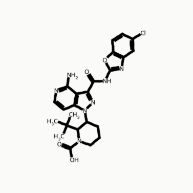 CC(C)(C)C1C(n2nc(C(=O)Nc3nc4cc(Cl)ccc4o3)c3c(N)nccc32)CCCN1C(=O)O